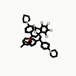 Cc1ccc(C(=CC2(C=C(c3ccc(C)cc3)c3ccc(N4CCCCC4)cc3)OC(=O)c3c(Cl)c(Cl)c(Cl)c(Cl)c32)c2ccc(N3CCCCC3)cc2)cc1